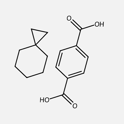 C1CCC2(CC1)CC2.O=C(O)c1ccc(C(=O)O)cc1